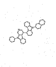 c1ccc(-n2c3ccccc3c3c(-c4cccc5c4c4ccccc4n5-c4ccc5ccccc5c4)cncc32)cc1